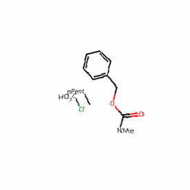 CCCCCC.CNC(=O)OCc1ccccc1.O=C(O)Cl